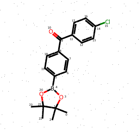 CC1(C)OB(c2ccc(C(=O)c3ccc(Cl)cc3)cc2)OC1(C)C